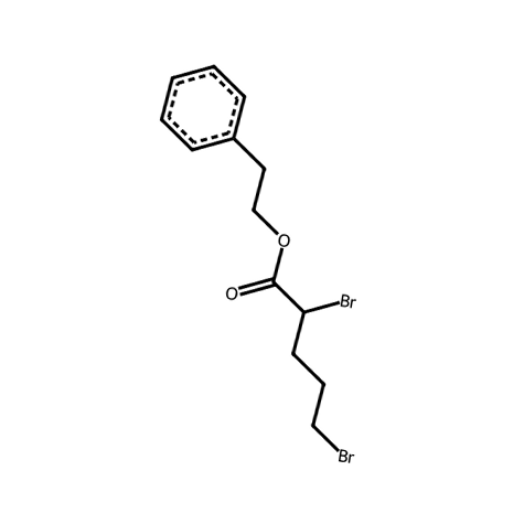 O=C(OCCc1ccccc1)C(Br)CCCBr